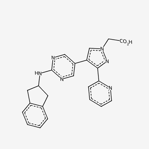 O=C(O)Cn1cc(-c2cnc(NC3Cc4ccccc4C3)nc2)c(-c2ccccn2)n1